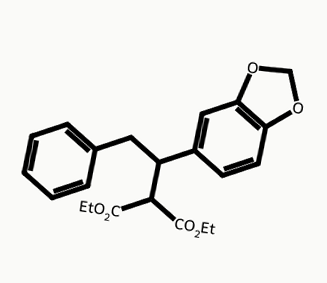 CCOC(=O)C(C(=O)OCC)C(Cc1ccccc1)c1ccc2c(c1)OCO2